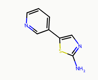 Nc1ncc(-c2cccnc2)s1